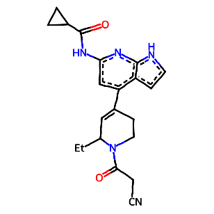 CCC1C=C(c2cc(NC(=O)C3CC3)nc3[nH]ccc23)CCN1C(=O)CC#N